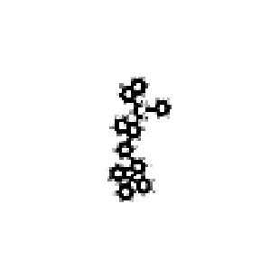 c1ccc(-c2nc(-c3cccc4ccccc34)cc(-c3ccc(-c4cccc(-c5cccc6c5-c5ccccc5C6(c5ccccc5)c5ccccc5)c4)c4ccccc34)n2)cc1